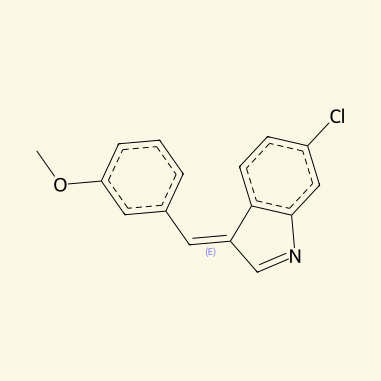 COc1cccc(/C=C2/C=Nc3cc(Cl)ccc32)c1